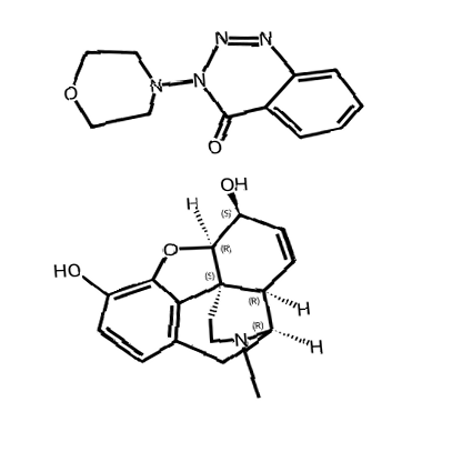 CN1CC[C@]23c4c5ccc(O)c4O[C@H]2[C@@H](O)C=C[C@H]3[C@H]1C5.O=c1c2ccccc2nnn1N1CCOCC1